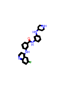 O=C(Nc1cccc(NC2CCNCC2)c1)c1cccc(Nc2ccnc3ccc(F)cc23)c1